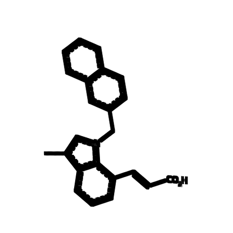 Cc1cn(Cc2ccc3ccccc3c2)c2c(/C=C/C(=O)O)cccc12